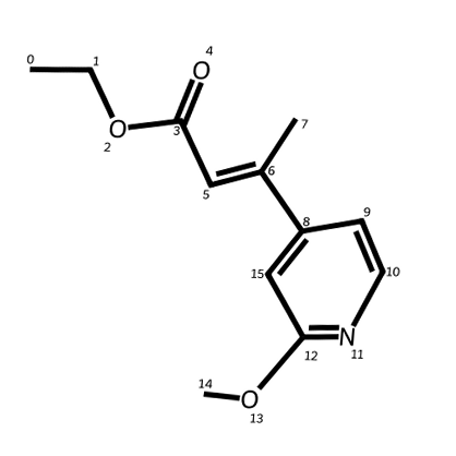 CCOC(=O)C=C(C)c1ccnc(OC)c1